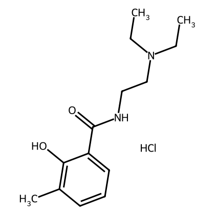 CCN(CC)CCNC(=O)c1cccc(C)c1O.Cl